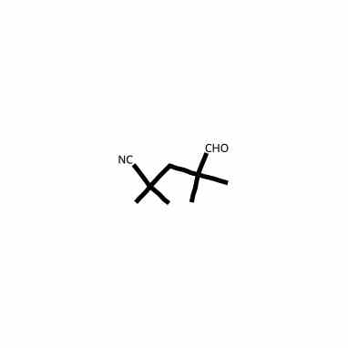 CC(C)(C#N)CC(C)(C)C=O